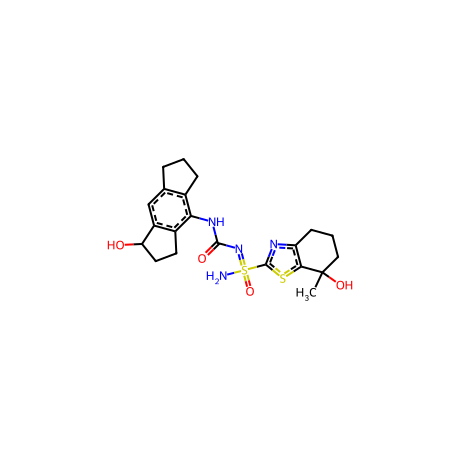 CC1(O)CCCc2nc(S(N)(=O)=NC(=O)Nc3c4c(cc5c3CCC5O)CCC4)sc21